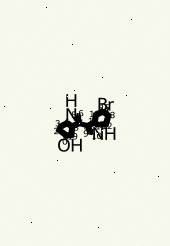 Oc1ccc2[nH]cc(-c3c[nH]c4ccc(Br)cc34)c2c1